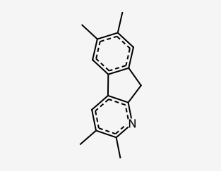 Cc1cc2c(cc1C)-c1cc(C)c(C)nc1C2